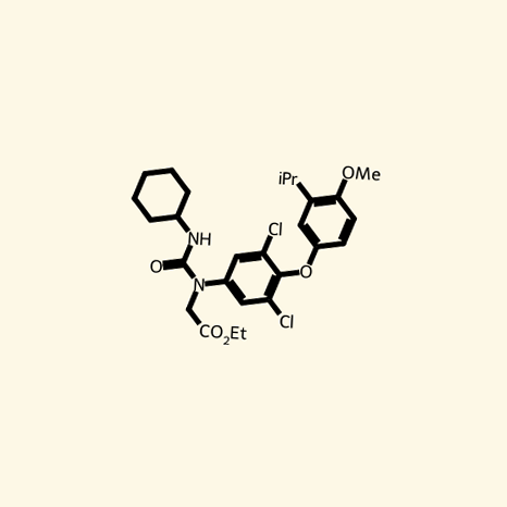 CCOC(=O)CN(C(=O)NC1CCCCC1)c1cc(Cl)c(Oc2ccc(OC)c(C(C)C)c2)c(Cl)c1